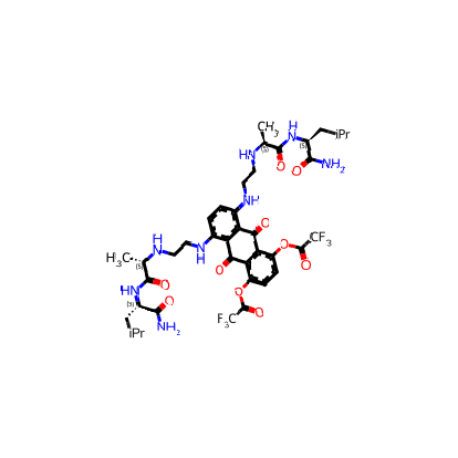 CC(C)C[C@H](NC(=O)[C@H](C)NCCNc1ccc(NCCN[C@@H](C)C(=O)N[C@@H](CC(C)C)C(N)=O)c2c1C(=O)c1c(OC(=O)C(F)(F)F)ccc(OC(=O)C(F)(F)F)c1C2=O)C(N)=O